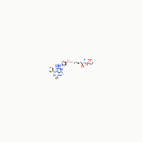 Cn1cnc2nc(Nc3ccc(OCCCCCCC(=O)NOC4CCCCO4)cc3)nc(NC3CCCCC3)c21